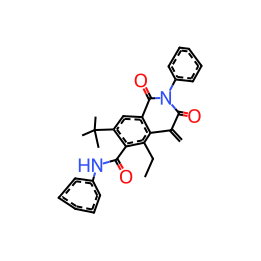 C=C1C(=O)N(c2ccccc2)C(=O)c2cc(C(C)(C)C)c(C(=O)Nc3ccccc3)c(CC)c21